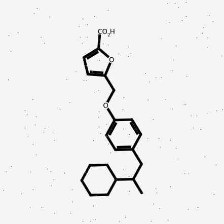 CC(Cc1ccc(OCc2ccc(C(=O)O)o2)cc1)C1CCCCC1